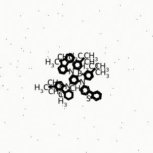 CC(C)(C)c1ccc2c(c1)B1c3cc(C(C)(C)C)ccc3N(c3cccc4c3-c3ccccc3C4(C)C)c3cc(N4c5ccc(C(C)(C)C)cc5C5(C)CCCCC45C)cc(c31)N2c1ccc2sc3ccccc3c2c1